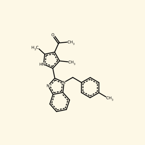 CC(=O)c1c(C)[nH]c(-c2nc3ccccc3n2Cc2ccc(C)cc2)c1C